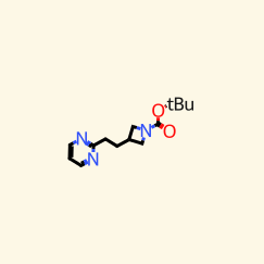 CC(C)(C)OC(=O)N1CC(CCc2ncccn2)C1